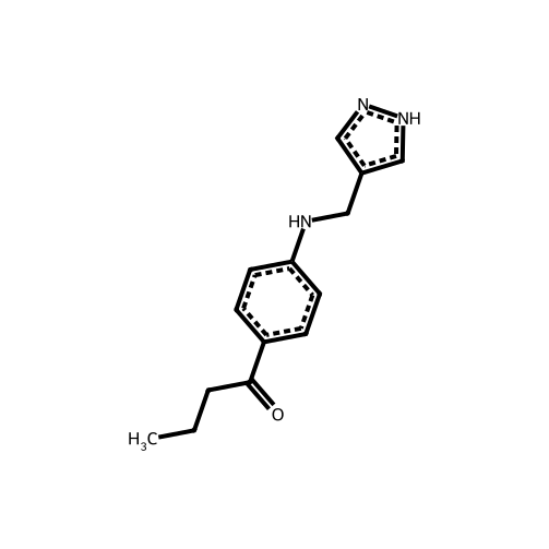 CCCC(=O)c1ccc(NCc2cn[nH]c2)cc1